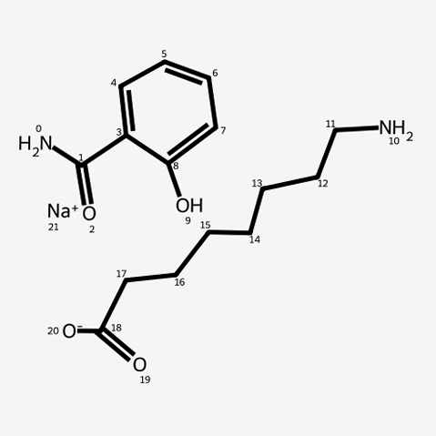 NC(=O)c1ccccc1O.NCCCCCCCC(=O)[O-].[Na+]